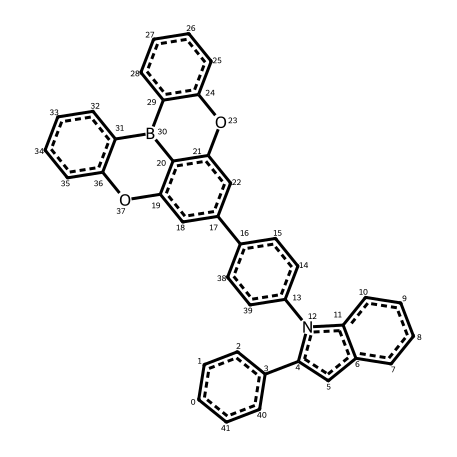 c1ccc(-c2cc3ccccc3n2-c2ccc(-c3cc4c5c(c3)Oc3ccccc3B5c3ccccc3O4)cc2)cc1